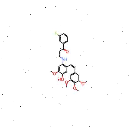 COc1cc(N/C=C\C(=O)c2cccc(F)c2)c(/C=C\c2cc(OC)c(OC)c(OC)c2)cc1O